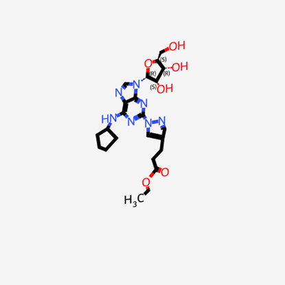 CCOC(=O)CCc1cnn(-c2nc(NC3CCCC3)c3ncn([C@@H]4O[C@@H](CO)[C@H](O)[C@@H]4O)c3n2)c1